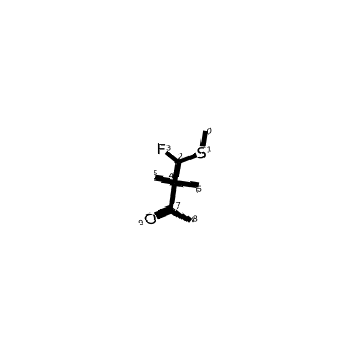 CSC(F)C(C)(C)C(C)=O